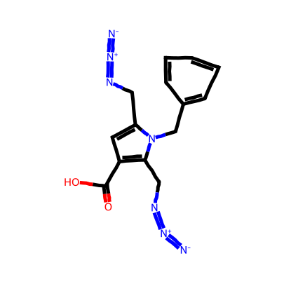 [N-]=[N+]=NCc1cc(C(=O)O)c(CN=[N+]=[N-])n1Cc1ccccc1